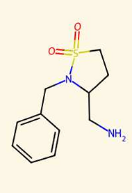 NCC1CCS(=O)(=O)N1Cc1ccccc1